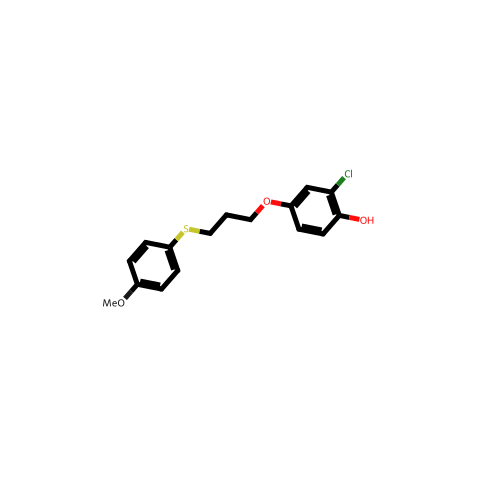 COc1ccc(SCCCOc2ccc(O)c(Cl)c2)cc1